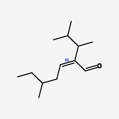 CCC(C)C/C=C(\C=O)C(C)C(C)C